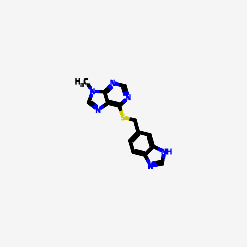 Cn1cnc2c(SCc3ccc4nc[nH]c4c3)ncnc21